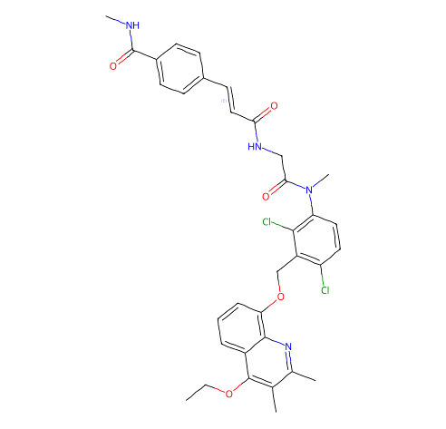 CCOc1c(C)c(C)nc2c(OCc3c(Cl)ccc(N(C)C(=O)CNC(=O)/C=C/c4ccc(C(=O)NC)cc4)c3Cl)cccc12